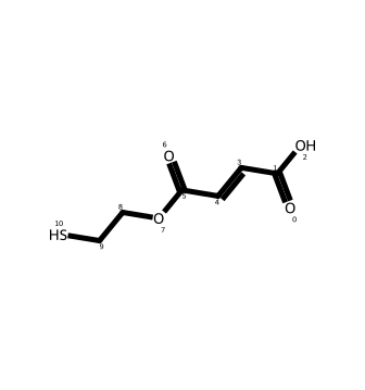 O=C(O)C=CC(=O)OCCS